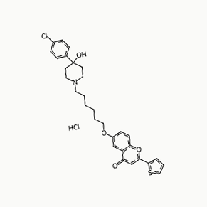 Cl.O=c1cc(-c2cccs2)oc2ccc(OCCCCCCN3CCC(O)(c4ccc(Cl)cc4)CC3)cc12